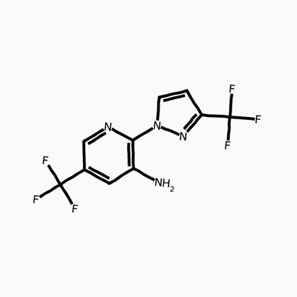 Nc1cc(C(F)(F)F)cnc1-n1ccc(C(F)(F)F)n1